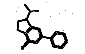 CC(C)N1CCn2c1cc(-c1ccccc1)cc2=O